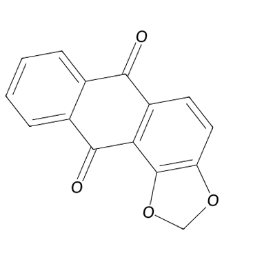 O=C1c2ccccc2C(=O)c2c1ccc1c2OCO1